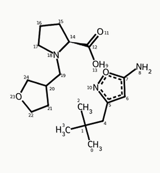 CC(C)(C)Cc1cc(N)on1.O=C(O)[C@@H]1CCCN1CC1CCOC1